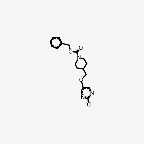 O=C(OCc1ccccc1)N1CCC(COc2cnc(Cl)nc2)CC1